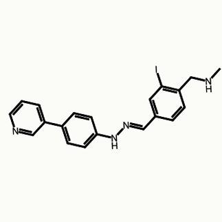 CNCc1ccc(C=NNc2ccc(-c3cccnc3)cc2)cc1I